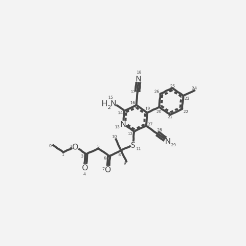 CCOC(=O)CC(=O)C(C)(C)Sc1nc(N)c(C#N)c(-c2ccc(C)cc2)c1C#N